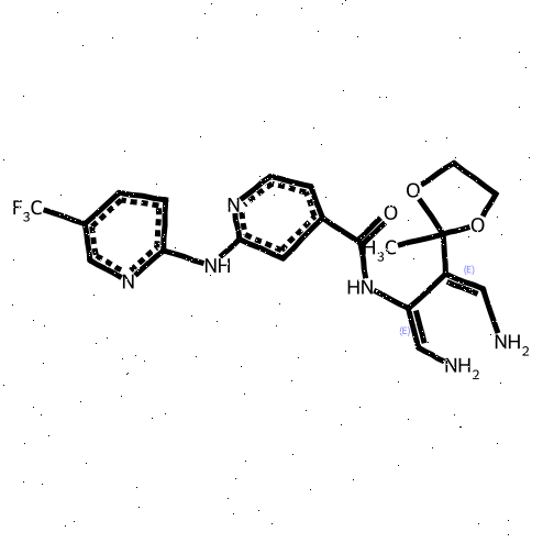 CC1(C(=C/N)/C(=C\N)NC(=O)c2ccnc(Nc3ccc(C(F)(F)F)cn3)c2)OCCO1